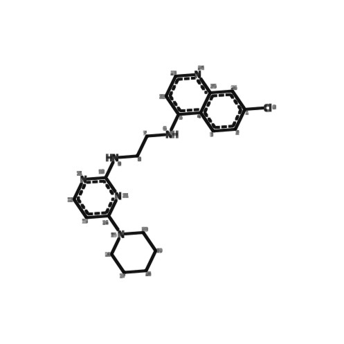 Clc1ccc2c(NCCNc3nccc(N4CCCCC4)n3)ccnc2c1